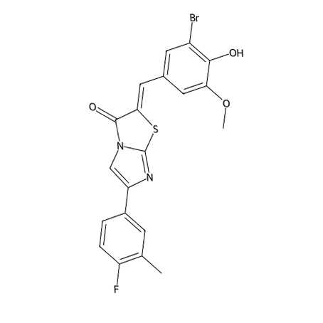 COc1cc(/C=c2\sc3nc(-c4ccc(F)c(C)c4)cn3c2=O)cc(Br)c1O